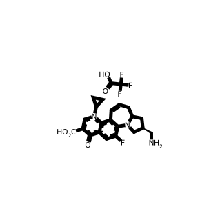 NC[C@@H]1CC2CC=Cc3c(c(F)cc4c(=O)c(C(=O)O)cn(C5CC5)c34)N2C1.O=C(O)C(F)(F)F